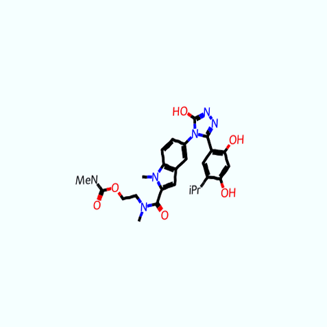 CNC(=O)OCCN(C)C(=O)c1cc2cc(-n3c(O)nnc3-c3cc(C(C)C)c(O)cc3O)ccc2n1C